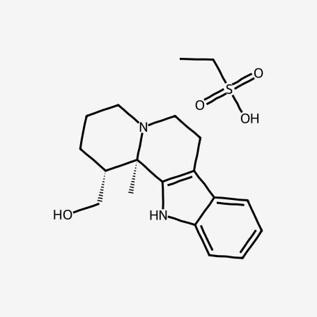 CCS(=O)(=O)O.C[C@@]12c3[nH]c4ccccc4c3CCN1CCC[C@H]2CO